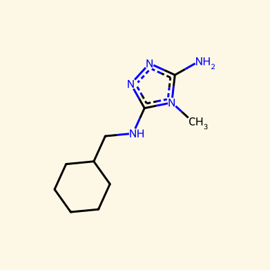 Cn1c(N)nnc1NCC1CCCCC1